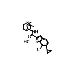 CC1(C)C(NC(=O)c2cc3ccc(C4CC4)c(Cl)c3s2)C2CCN1CC2.Cl